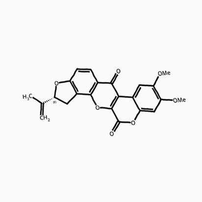 C=C(C)[C@H]1Cc2c(ccc3c(=O)c4c(oc23)c(=O)oc2cc(OC)c(OC)cc24)O1